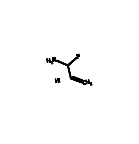 C=CC(N)F.I